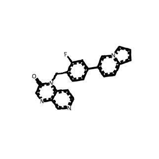 O=c1cnc2cnccc2n1Cc1ccc(-c2ccc3cccn3c2)cc1F